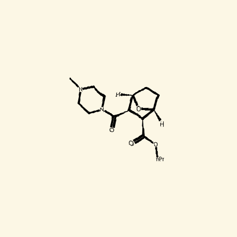 CCCOC(=O)[C@H]1[C@@H](C(=O)N2CCN(C)CC2)[C@@H]2CC[C@H]1O2